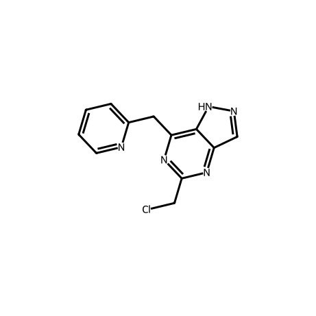 ClCc1nc(Cc2ccccn2)c2[nH]ncc2n1